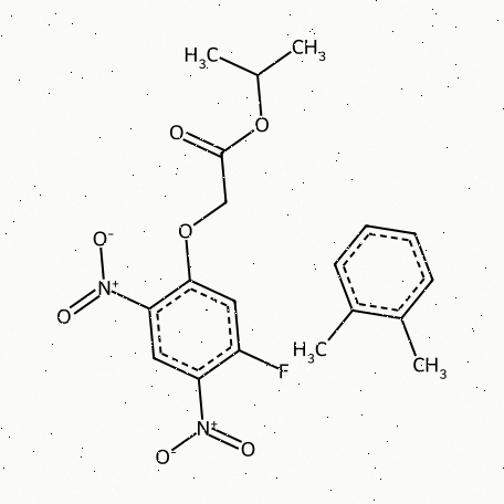 CC(C)OC(=O)COc1cc(F)c([N+](=O)[O-])cc1[N+](=O)[O-].Cc1ccccc1C